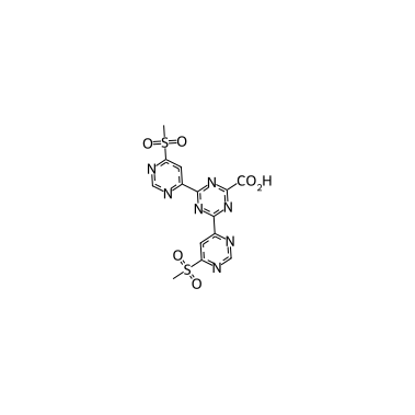 CS(=O)(=O)c1cc(-c2nc(C(=O)O)nc(-c3cc(S(C)(=O)=O)ncn3)n2)ncn1